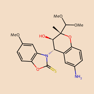 COc1ccc2oc(=S)n([C@H]3c4cc(N)ccc4O[C@@](C)(C(OC)OC)[C@@H]3O)c2c1